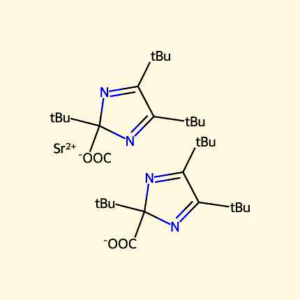 CC(C)(C)C1=NC(C(=O)[O-])(C(C)(C)C)N=C1C(C)(C)C.CC(C)(C)C1=NC(C(=O)[O-])(C(C)(C)C)N=C1C(C)(C)C.[Sr+2]